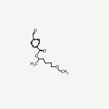 CCOCCCCC(C)OC(=O)c1ccc(C=O)cc1